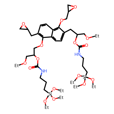 CCOCC(COc1c(CC2CO2)ccc2c(OCC3CO3)c(CC(COCC)OC(=O)NCCC[Si](OCC)(OCC)OCC)ccc12)OC(=O)NCCC[Si](OCC)(OCC)OCC